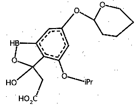 CC(C)Oc1cc(OC2CCCCO2)cc2c1C(O)(CC(=O)O)OB2